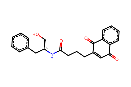 O=C(CCCC1=CC(=O)c2ccccc2C1=O)N[C@H](CO)Cc1ccccc1